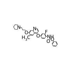 Cc1cc2c(Oc3ccc(NC(=O)Oc4ccccc4)c(F)c3)ccnc2cc1OCCCN1CCCCC1